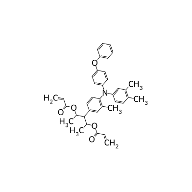 C=CC(=O)OC(C)C(c1ccc(N(c2ccc(Oc3ccccc3)cc2)c2ccc(C)c(C)c2)c(C)c1)C(C)OC(=O)C=C